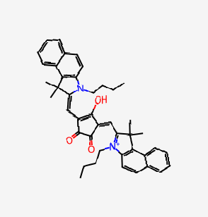 CCCCN1/C(=C\C2=C(O)C(=C/C3=[N+](CCCC)c4ccc5ccccc5c4C3(C)C)/C(=O)C2=O)C(C)(C)c2c1ccc1ccccc21